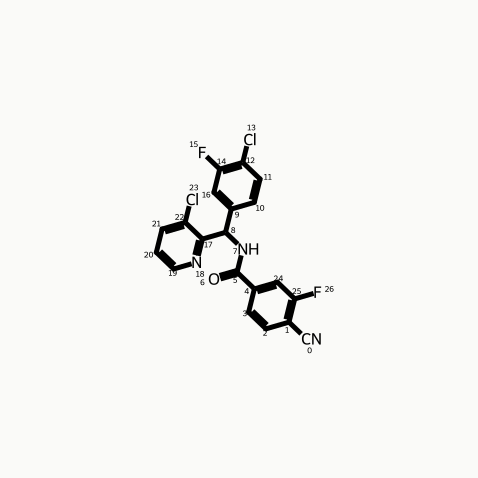 N#Cc1ccc(C(=O)NC(c2ccc(Cl)c(F)c2)c2ncccc2Cl)cc1F